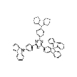 c1ccc2c(c1)-c1ccccc1C21c2ccccc2-c2ccc(-c3nc(-c4ccc(C5C6CCCCC6C6CCCCC65)cc4)nc(-c4ccc(-n5c6ccccc6c6ccccc65)cc4)n3)cc21